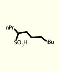 CCCC(CCCC(C)CC)S(=O)(=O)O